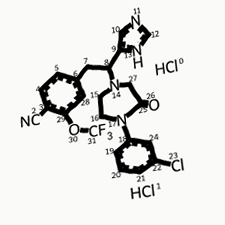 Cl.Cl.N#Cc1ccc(CC(c2cnc[nH]2)N2CCN(c3cccc(Cl)c3)C(=O)C2)cc1OC(F)(F)F